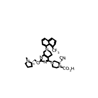 CN1CCC[C@H]1COc1nc2c(c(N3CCN(C(=O)O)[C@@H](CC#N)C3)n1)CCN(c1cccc3cccc(C(F)(F)F)c13)C2